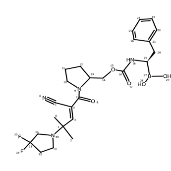 CC(C)(C=C(C#N)C(=O)N1CCCC1COC(=O)N[C@@H](Cc1ccccc1)B(O)O)N1CCC(F)(F)C1